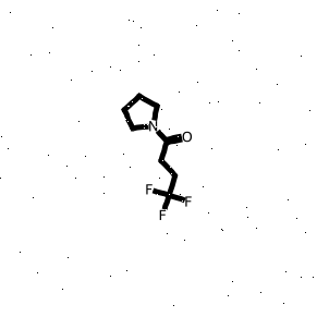 O=C(CCC(F)(F)F)N1CCCC1